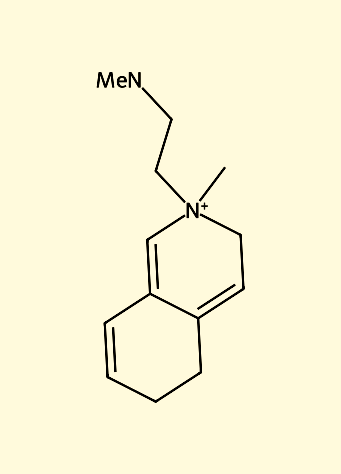 CNCC[N+]1(C)C=C2C=CCCC2=CC1